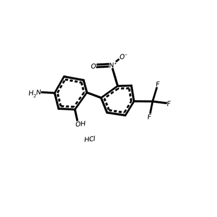 Cl.Nc1ccc(-c2ccc(C(F)(F)F)cc2[N+](=O)[O-])c(O)c1